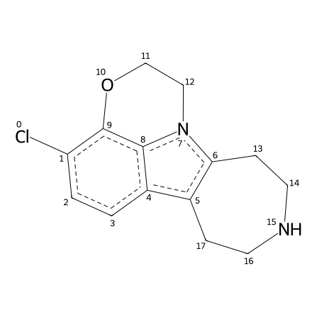 Clc1ccc2c3c(n4c2c1OCC4)CCNCC3